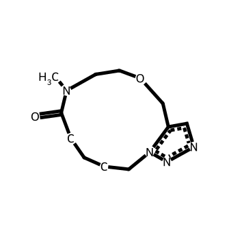 CN1CCOCc2cnnn2CCCCC1=O